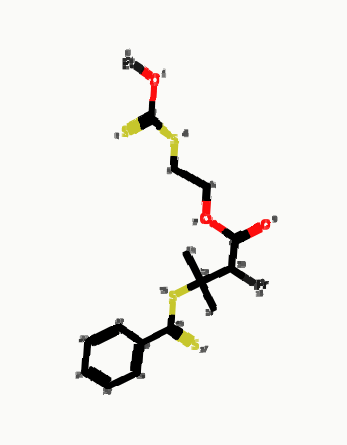 CCOC(=S)SCCOC(=O)C(C(C)C)C(C)(C)SC(=S)c1ccccc1